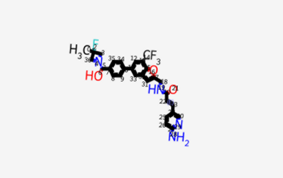 CC1(F)CN(C(O)c2ccc(-c3cc(C(F)(F)F)c4oc(CNC(=O)/C=C/c5ccc(N)nc5)cc4c3)cc2)C1